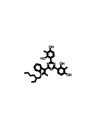 CCCCC(CC)Cn1c(C)c(-c2nc(-c3ccc(O)c(C)c3O)nc(-c3ccc(O)c(C)c3O)n2)c2ccccc21